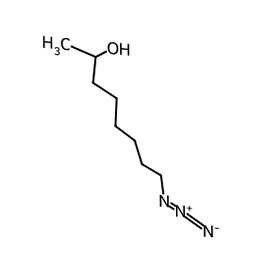 CC(O)CCCCCCN=[N+]=[N-]